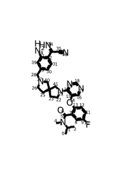 CC(C)N(C)C(=O)c1cc(F)ccc1Oc1cncnc1N1CCC2(CCN(Cc3ccc(C(=N)C#N)c(N)c3)C2)C1